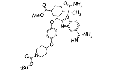 COC(=O)C1CCC(C(C)(C(N)=O)n2c(COc3ccc(OC4CCN(C(=O)OC(C)(C)C)CC4)cc3)nc3cc(C(=N)N)ccc32)CC1